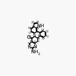 Nc1ncc2c(n1)CC(c1ccccc1-c1cccc3cc[nH]c13)CC2=O